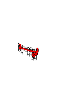 CC(C)N(C)[C@@H]1CC[C@H](N2CC[C@H](Nc3ncnc4ccc(C(F)(F)F)cc34)C2=O)[C@H](NC(=O)COCCNC(=O)CCNC(=O)CCOCCOCCNC(=O)[C@H]2CC(=O)N(C)[C@@H]2c2cccnc2)C1